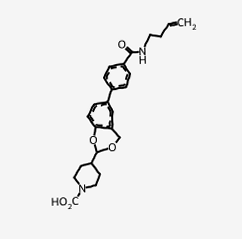 C=CCCNC(=O)c1ccc(-c2ccc3c(c2)COC(C2CCN(C(=O)O)CC2)O3)cc1